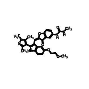 CNC(=O)Nc1ccc2c(c1)C(=O)C(=Cc1c(-c3c(C)nn(C)c3C)[nH]c3ccc(OCCOC)cc13)O2